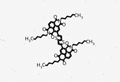 CCCCCCC1C(=O)c2ccc3c4c(c(-c5cc6sc(-c7cc8c9c(ccc%10c9c7C(=O)N(CCCCCC)C%10=O)C(=O)N(CCCCCC)C8=O)cc6s5)cc(c24)C1=O)C(=O)N(CCCCCC)C3=O